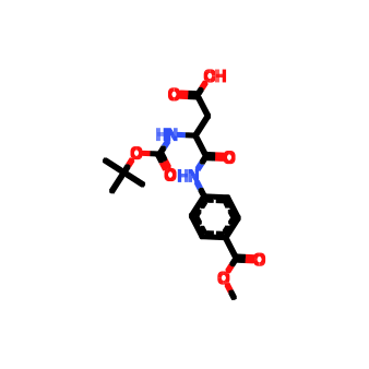 COC(=O)c1ccc(NC(=O)C(CC(=O)O)NC(=O)OC(C)(C)C)cc1